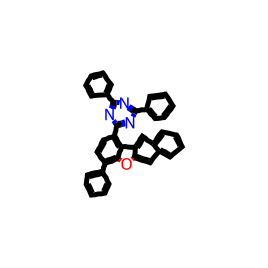 c1ccc(-c2nc(-c3ccccc3)nc(-c3ccc(-c4ccccc4)c4oc5cc6ccccc6cc5c34)n2)cc1